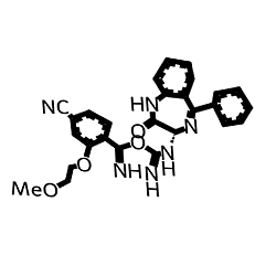 COCCOc1cc(C#N)ccc1C(=N)OC(=N)N[C@H]1N=C(c2ccccc2)c2ccccc2NC1=O